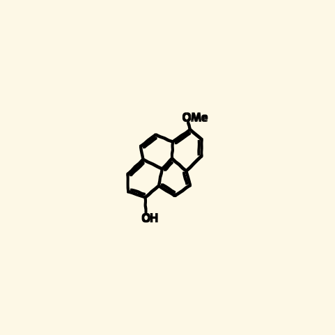 COc1ccc2ccc3c(O)ccc4ccc1c2c43